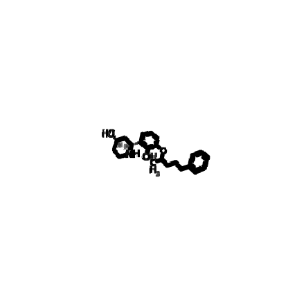 CC(CCCc1ccccc1)Oc1cccc([C@H]2C[C@@H](O)CCN2)c1O